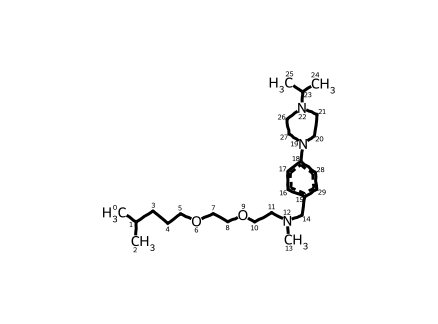 CC(C)CCCOCCOCCN(C)Cc1ccc(N2CCN(C(C)C)CC2)cc1